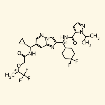 CC(C)n1nccc1C(=O)N[C@H](c1cn2ncc(C(NC(=O)CO[C@H](C)C(F)(F)F)C3CC3)cc2n1)C1CCC(F)(F)CC1